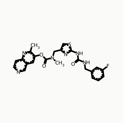 Cc1nc2ccncc2cc1OC(=O)N(C)Cc1csc(NC(=O)NCc2cccc(F)c2)n1